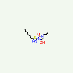 C=CCCCCc1nnc(N2C(=O)N(CC=C)CC2O)s1